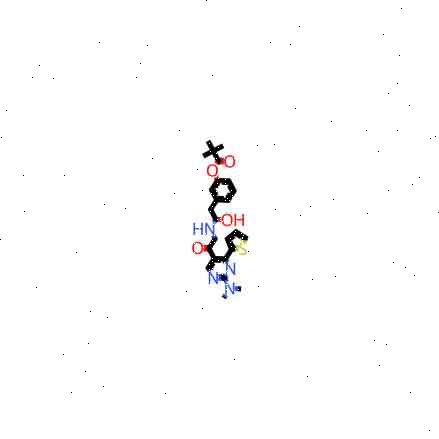 CN(C)c1ncc(C(=O)CNC(O)Cc2cccc(OC(=O)C(C)(C)C)c2)c(-c2cccs2)n1